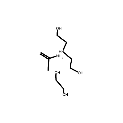 C=C(C)N.OCCNCCO.OCCO